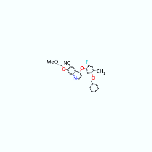 COCCOc1cc2nccc(Oc3cc(OCc4ccccc4)c(C)cc3F)c2cc1C#N